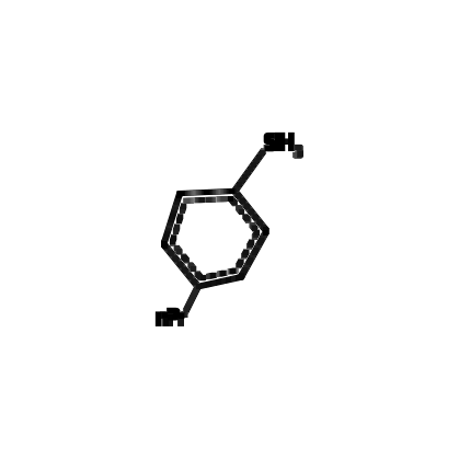 CCCc1ccc([SiH3])cc1